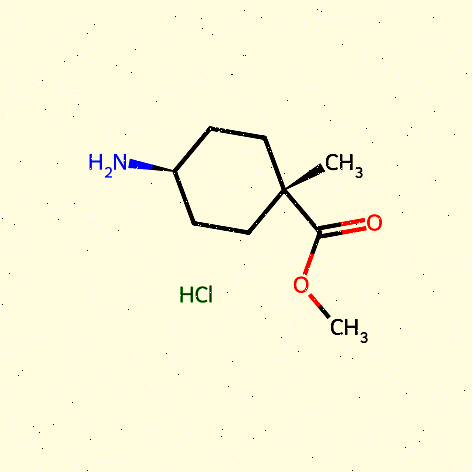 COC(=O)[C@]1(C)CC[C@@H](N)CC1.Cl